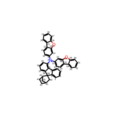 c1ccc2c(c1)-c1c(N(c3ccc4c(c3)oc3ccccc34)c3ccc4c(c3)oc3ccccc34)cccc1C21CC2CCC1C2